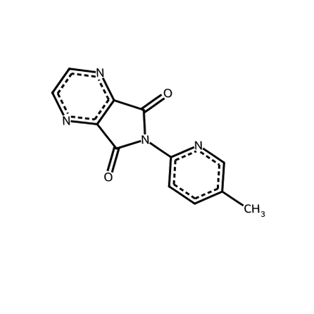 Cc1ccc(N2C(=O)c3nccnc3C2=O)nc1